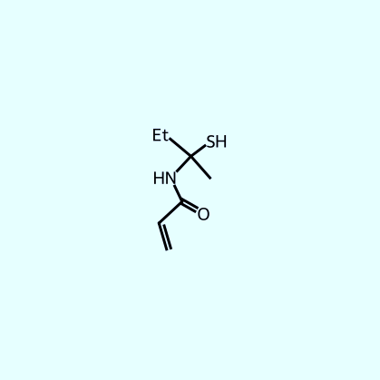 C=CC(=O)NC(C)(S)CC